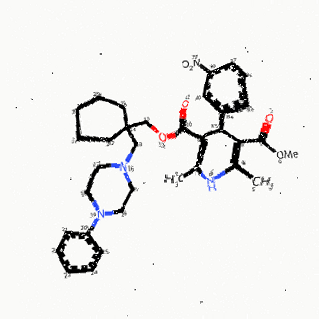 COC(=O)C1=C(C)NC(C)=C(C(=O)OCC2(CN3CCN(c4ccccc4)CC3)CCCCC2)C1c1cccc([N+](=O)[O-])c1